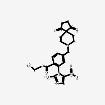 CCOC(=O)c1ccc(CN2CCC3(CC2)C(=O)CCC3=O)cc1-n1c([N+](=O)[O-])cnc1C